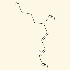 C/[C]=C/C=CC(C)CCCC(C)C